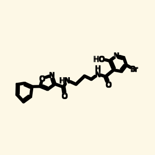 O=C(NCCCNC(=O)c1cc(Br)cnc1O)c1cc(-c2ccccc2)on1